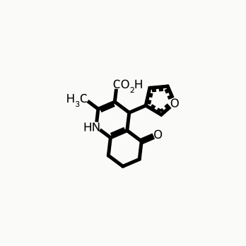 CC1=C(C(=O)O)C(c2ccoc2)C2=C(CCCC2=O)N1